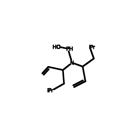 C=CC(CC(C)C)N(PO)C(C=C)CC(C)C